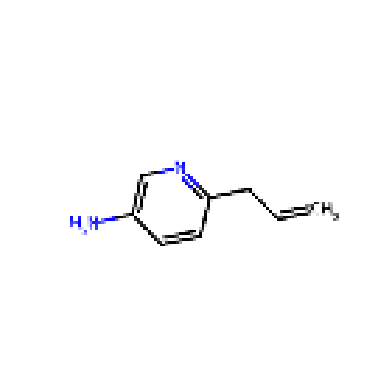 C=CCc1ccc(N)cn1